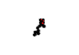 c1ccc(C2(c3ccccc3)c3ccccc3-c3ccc(N(c4ccc(-c5cccc(-c6ccc7c8ccccc8n(-c8cccc9c8oc8ccccc89)c7c6)c5)cc4)c4ccc5ccccc5c4)cc32)cc1